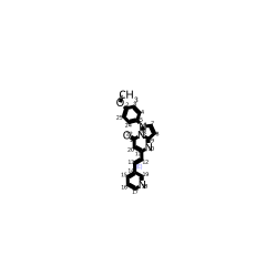 COc1ccc(-n2ccc3nc(/C=C/c4cccnc4)cc(=O)n32)cc1